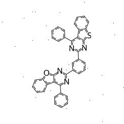 c1ccc(-c2nc(-c3cccc(-c4nc(-c5ccccc5)c5c(n4)sc4ccccc45)c3)nc3oc4ccccc4c23)cc1